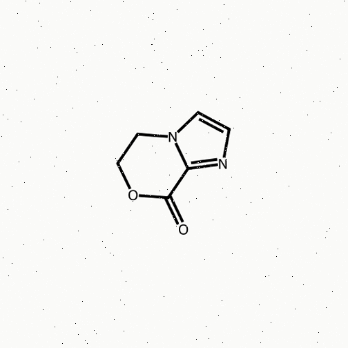 O=C1OCCn2ccnc21